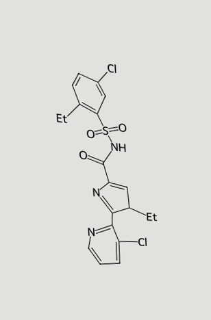 CCc1ccc(Cl)cc1S(=O)(=O)NC(=O)C1=CC(CC)C(c2ncccc2Cl)=N1